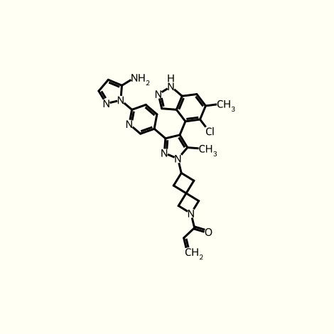 C=CC(=O)N1CC2(CC(n3nc(-c4ccc(-n5nccc5N)nc4)c(-c4c(Cl)c(C)cc5[nH]ncc45)c3C)C2)C1